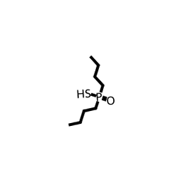 CCCCP(=O)(S)CCCC